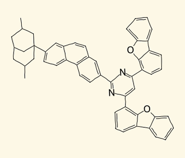 CC1CC2CC(C)CC(c3ccc4c(ccc5cc(-c6nc(-c7cccc8c7oc7ccccc78)cc(-c7cccc8c7oc7ccccc78)n6)ccc54)c3)(C1)C2